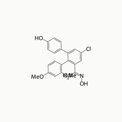 COc1ccc(-c2c(/C(N)=N/O)cc(Cl)cc2-c2ccc(O)cc2)c(OC)c1